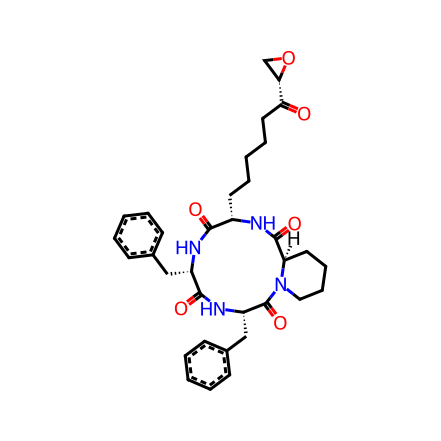 O=C1N[C@@H](Cc2ccccc2)C(=O)N2CCCC[C@@H]2C(=O)N[C@@H](CCCCCC(=O)[C@@H]2CO2)C(=O)N[C@H]1Cc1ccccc1